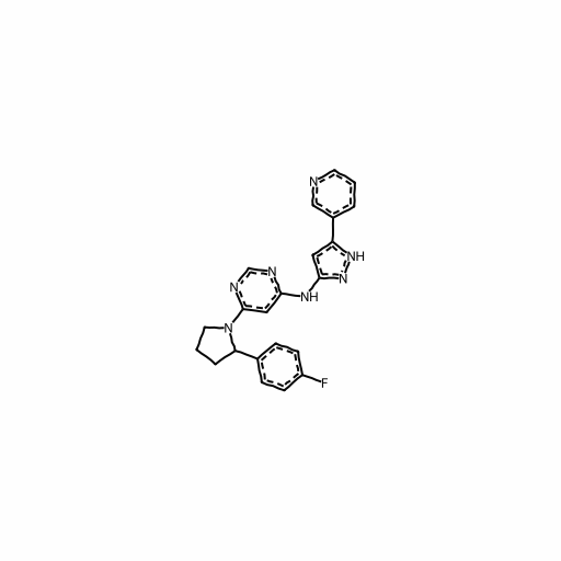 Fc1ccc(C2CCCN2c2cc(Nc3cc(-c4cccnc4)[nH]n3)ncn2)cc1